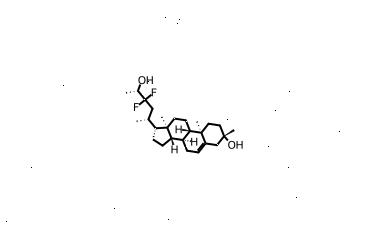 C[C@H](CC(F)(F)[C@H](C)O)[C@H]1CC[C@H]2[C@@H]3CC=C4C[C@@](C)(O)CC[C@]4(C)[C@H]3CC[C@]12C